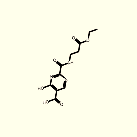 CCOC(=O)CCNC(=O)c1ncc(C(=O)O)c(O)n1